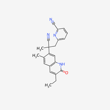 CCc1cc2cc(C)c(C(C)(C#N)Cc3cccc(C#N)n3)cc2[nH]c1=O